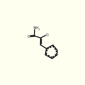 NC(=O)C(Cl)=Cc1ccccc1